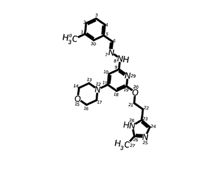 Cc1cccc(C=NNc2cc(N3CCOCC3)cc(OCCc3cnc(C)[nH]3)n2)c1